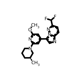 COc1cc(-c2cnc3ccc(C(F)F)nn23)cc(N2CCC[C@H](C)C2)n1